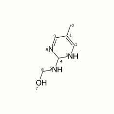 CC1=CNC(NCO)N=C1